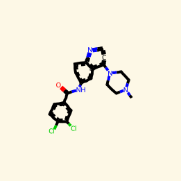 CN1CCN(c2ccnc3ccc(NC(=O)c4ccc(Cl)c(Cl)c4)cc23)CC1